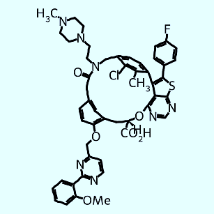 COc1ccccc1-c1nccc(COc2ccc3cc2C[C@@H](C(=O)O)Oc2ncnc4sc(-c5ccc(F)cc5)c(c24)-c2ccc(c(Cl)c2C)CN(CCN2CCN(C)CC2)C(=O)C3)n1